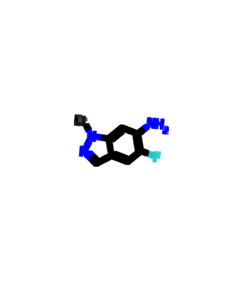 CCn1ncc2cc(F)c(N)cc21